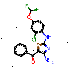 Nc1nc(Nc2ccc(OC(F)F)cc2Cl)sc1C(=O)c1ccccc1